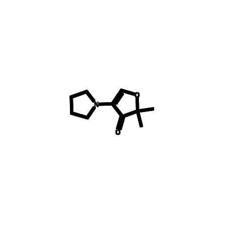 CC1(C)OC=C(N2CCCC2)C1=O